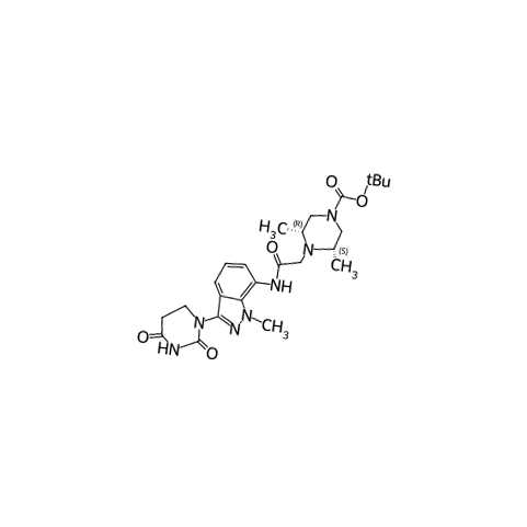 C[C@@H]1CN(C(=O)OC(C)(C)C)C[C@H](C)N1CC(=O)Nc1cccc2c(N3CCC(=O)NC3=O)nn(C)c12